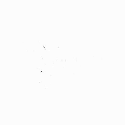 CC(C)(CCCCCl)CNC[C@@H](O)[C@H](Cc1ccccc1)NC(=O)O[C@H]1CCOC1